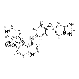 COc1ncc2ncnc(Nc3ccc(Oc4cc5ncnn5cn4)c(C)c3)c2c1O[C@@H]1CCN(C)CC1(F)F